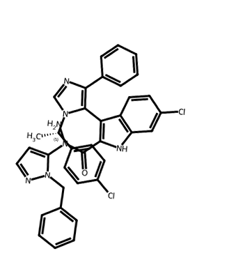 C[C@@H](c1ccc(Cl)cc1)n1cnc(-c2ccccc2)c1-c1c(C(=O)N(N)c2ccnn2Cc2ccccc2)[nH]c2cc(Cl)ccc12